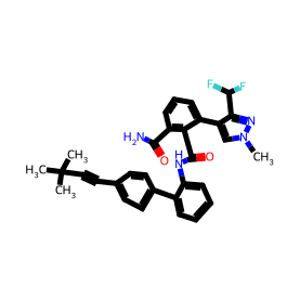 Cn1cc(-c2cccc(C(N)=O)c2C(=O)Nc2ccccc2-c2ccc(C#CC(C)(C)C)cc2)c(C(F)F)n1